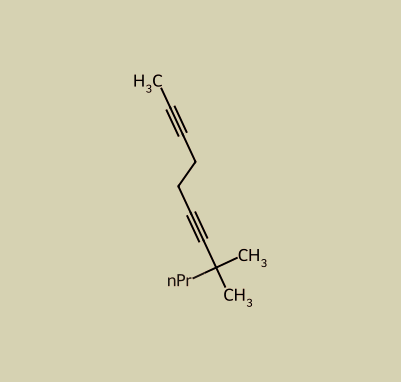 CC#CCCC#CC(C)(C)CCC